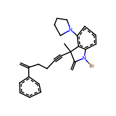 C=C(CCC#CC1(C)C(=C)N(Br)c2cccc(N3CCCC3)c21)c1ccccc1